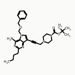 CCCCc1nc(N)c2c(n1)c(C#CCN1CCN(C(=O)OC(C)(C)C)CC1)cn2COCc1ccccc1